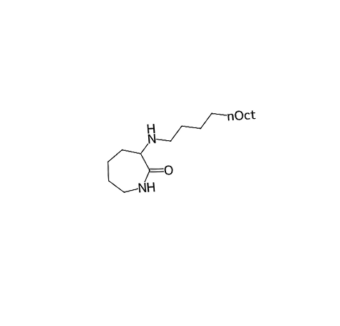 CCCCCCCCCCCCNC1CCCCNC1=O